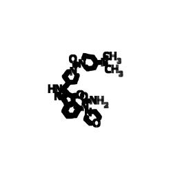 CN(C)C1CCN(C(=O)N2CCC(c3[nH]nc4c3C(=O)c3c-4cccc3N(C(N)=O)N3CCOCC3)CC2)CC1